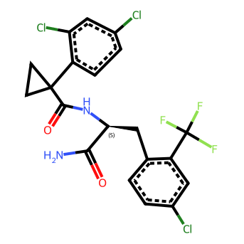 NC(=O)[C@H](Cc1ccc(Cl)cc1C(F)(F)F)NC(=O)C1(c2ccc(Cl)cc2Cl)CC1